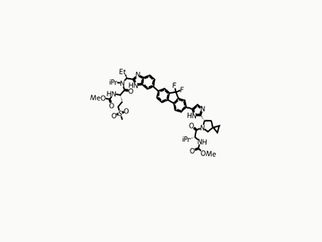 CC[C@@H](c1nc2ccc(-c3ccc4c(c3)C(F)(F)c3cc(-c5cnc([C@@H]6CC7(CC7)CN6C(=O)[C@H](NC(=O)OC)C(C)C)[nH]5)ccc3-4)cc2[nH]1)N(C(=O)[C@H](CCS(C)(=O)=O)NC(=O)OC)C(C)C